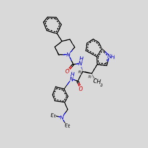 CCN(CC)Cc1cccc(NC(=O)[C@H](NC(=O)N2CCC(c3ccccc3)CC2)[C@@H](C)c2c[nH]c3ccccc23)c1